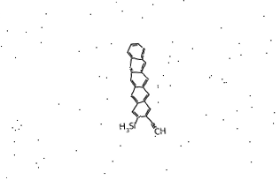 C#Cc1cc2cc3cc4cc5ccccc5cc4cc3cc2cc1[SiH3]